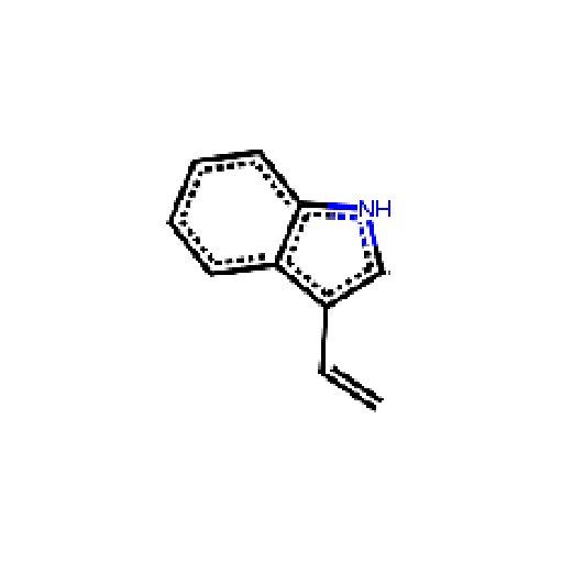 C=Cc1[c][nH]c2ccccc12